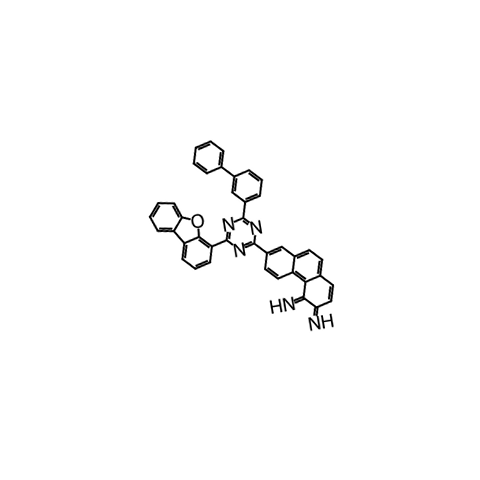 N=C1C=Cc2ccc3cc(-c4nc(-c5cccc(-c6ccccc6)c5)nc(-c5cccc6c5oc5ccccc56)n4)ccc3c2C1=N